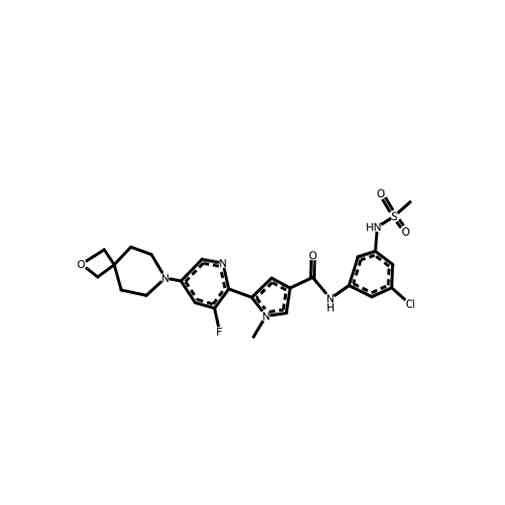 Cn1cc(C(=O)Nc2cc(Cl)cc(NS(C)(=O)=O)c2)cc1-c1ncc(N2CCC3(CC2)COC3)cc1F